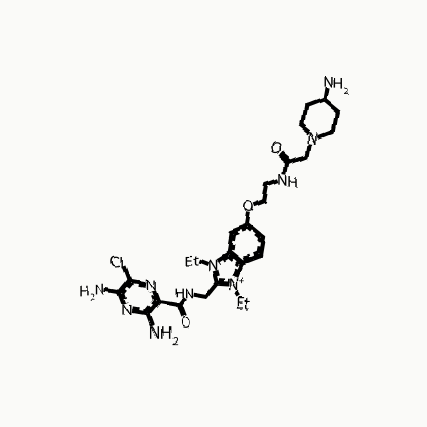 CCn1c(CNC(=O)c2nc(Cl)c(N)nc2N)[n+](CC)c2ccc(OCCNC(=O)CN3CCC(N)CC3)cc21